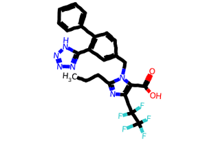 CCCc1nc(C(F)(F)C(F)(F)F)c(C(=O)O)n1Cc1ccc(-c2ccccc2)c(-c2nnn[nH]2)c1